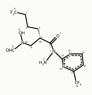 NN(C(=O)[C@@H](CCCC(F)(F)F)CN(O)C=O)c1nccc(C(F)(F)F)n1